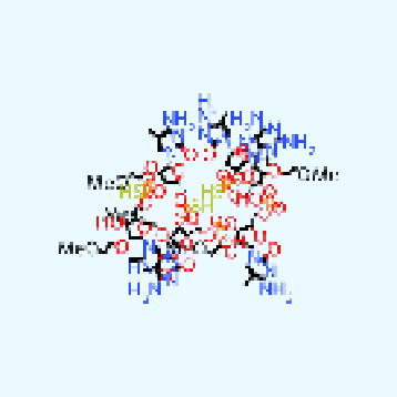 C=C1NC(=O)C(C)=CN1[C@@H]1O[C@H](COP(=O)(S)OC2[C@@H](COP(=O)(S)OC3[C@@H](COP(=O)(O)OC4[C@@H](COP(=O)(O)OC5[C@@H](COP(=O)(S)OC6C[C@H](n7cc(C)c(N)nc7=O)O[C@@H]6CC)O[C@@H](n6cnc7c(N)nc(N)nc76)[C@H]5OCCOC)O[C@@H](n5cc(C)c(N)nc5=O)[C@H]4OCCOC)O[C@@H](n4cc(C)c(N)nc4=O)[C@H]3OCCOC)O[C@@H](n3cc(C)c(N)nc3=O)[C@H]2OCCOC)C(O)[C@@H]1OCCOC